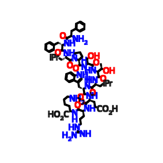 CC(C)C[C@H](NC(=O)[C@@H](NC(=O)[C@H](CO)NC(=O)[C@@H]1CCCN1C(=O)[C@H](CC(C)C)NC(=O)[C@H](Cc1ccccc1)NC(=O)[C@@H](N)Cc1ccccc1)[C@@H](C)O)C(=O)N[C@@H](Cc1c[nH]c2ccccc12)C(=O)N[C@@H](CCC(=O)O)C(=O)N[C@@H](CCCNC(=N)N)C(=O)N[C@@H](CCCCN)C(=O)O